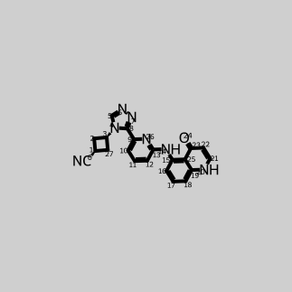 N#C[C@H]1C[C@@H](n2cnnc2-c2cccc(Nc3cccc4[nH]ccc(=O)c34)n2)C1